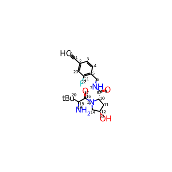 C#Cc1ccc(CNC(=O)[C@@H]2C[C@@H](O)CN2C(=O)C(N)C(C)(C)C)c(F)c1